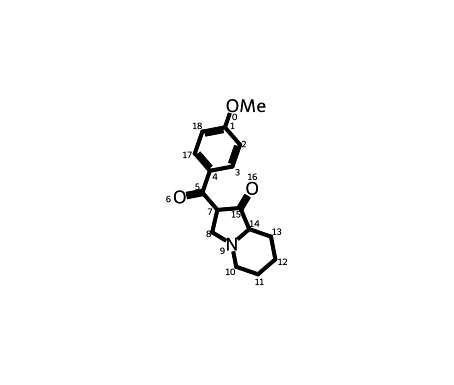 COc1ccc(C(=O)C2CN3CCCCC3C2=O)cc1